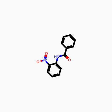 O=C(Nc1ccccc1[N+](=O)[O-])c1ccccc1